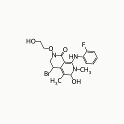 CC1=C2C(=C(Nc3ccccc3F)N(C)C1O)C(=O)N(OCCO)CC2Br